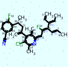 C=CC(=C\C)/C(/C=C/C)=C(F)/C=c1/nc(C)c(Cl)c(C(=C)C[C@@H](C)c2cc(C#N)ccc2F)c1=C